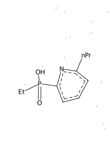 CCCc1cccc(P(=O)(O)CC)n1